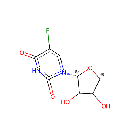 C[C@H]1O[C@@H](n2cc(F)c(=O)[nH]c2=O)C(O)C1O